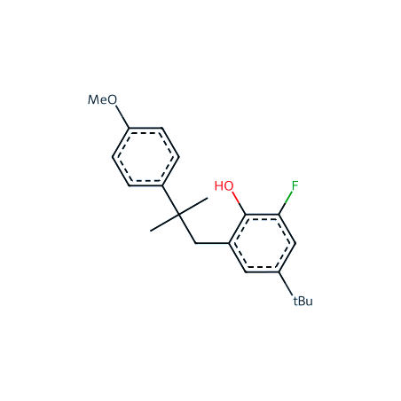 COc1ccc(C(C)(C)Cc2cc(C(C)(C)C)cc(F)c2O)cc1